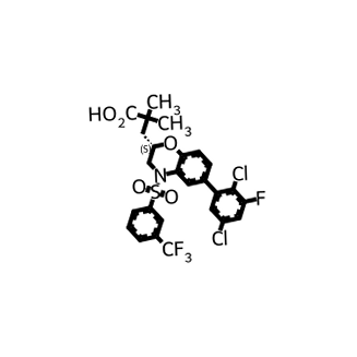 CC(C)(C[C@H]1CN(S(=O)(=O)c2cccc(C(F)(F)F)c2)c2cc(-c3cc(Cl)cc(F)c3Cl)ccc2O1)C(=O)O